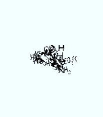 Nc1nc(C(=NOCC(=O)O)C(=O)NC2C(=O)N3C(C(=O)O)=C(C=CSc4n[nH]c(=O)c(=O)n4CC(O)CO)CSC23)cs1